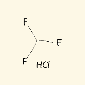 Cl.F[C](F)F